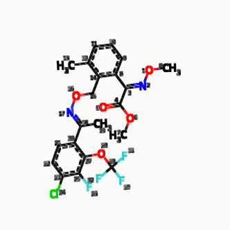 CO/N=C(/C(=O)OC)c1cccc(C)c1CO/N=C(\C)c1ccc(Cl)c(F)c1OC(F)(F)F